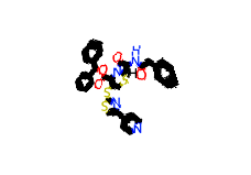 O=C(Cc1ccccc1)NC1C(=O)N2C(C(=O)OC(c3ccccc3)c3ccccc3)=C(Sc3nc(-c4ccncc4)cs3)CS[C@H]12